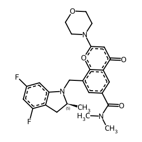 C[C@H]1Cc2c(F)cc(F)cc2N1Cc1cc(C(=O)N(C)C)cc2c(=O)cc(N3CCOCC3)oc12